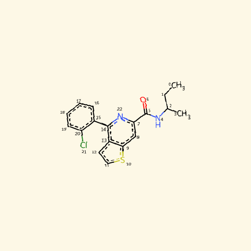 CCC(C)NC(=O)c1cc2sccc2c(-c2ccccc2Cl)n1